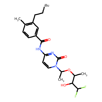 CCC(C)CCc1cc(C(=O)Nc2ccn(C(C)OC(C)C(O)C(F)F)c(=O)n2)ccc1C